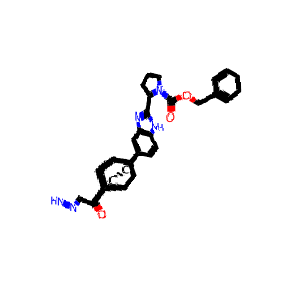 N=NCC(=O)C12CCC(c3ccc4[nH]c(C5CCCN5C(=O)OCc5ccccc5)nc4c3)(CC1)CC2